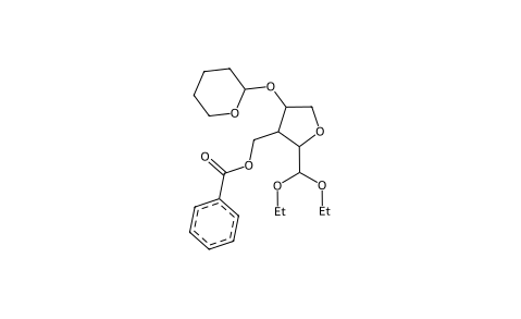 CCOC(OCC)C1OCC(OC2CCCCO2)C1COC(=O)c1ccccc1